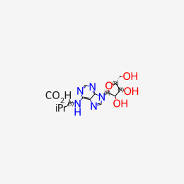 CC(C)[C@H](Nc1ncnc2c1ncn2[C@@H]1O[C@H](CO)[C@H](O)C1O)C(=O)O